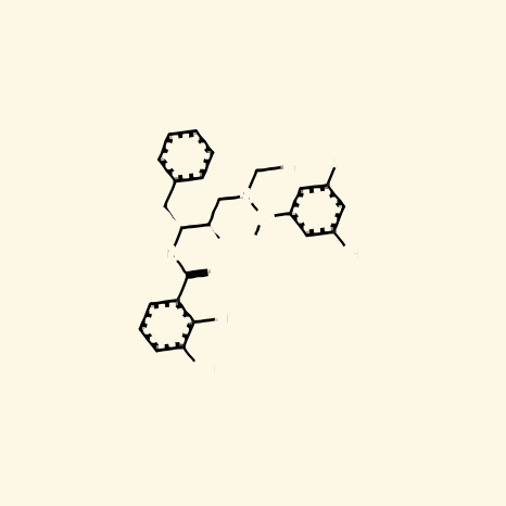 Cc1c(O)cccc1C(=O)N[C@@H](Cc1ccccc1)[C@H](O)CN(CC(C)C)[S+]([O-])c1cc(O)cc(O)c1